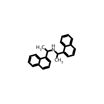 CC(NC(C)c1cccc2ccccc12)c1cccc2ccccc12